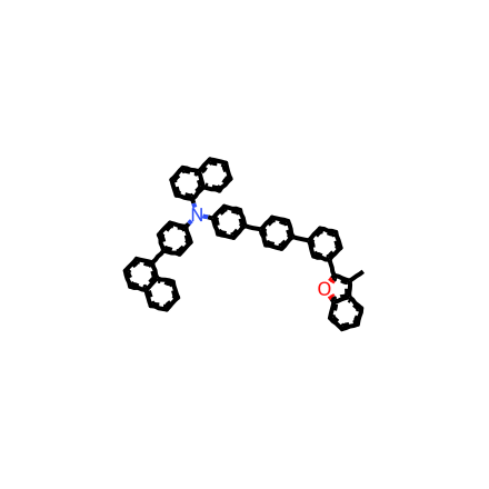 Cc1c(-c2cccc(-c3ccc(-c4ccc(N(c5ccc(-c6cccc7ccccc67)cc5)c5cccc6ccccc56)cc4)cc3)c2)oc2ccccc12